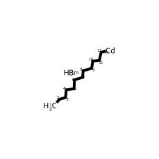 Br.CCCCCCCCCCC[CH2][Cd]